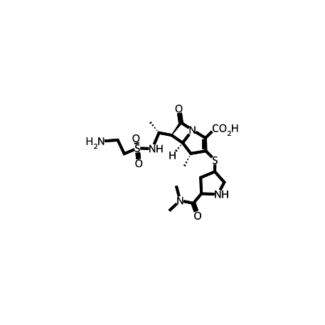 C[C@@H](NS(=O)(=O)CCN)[C@H]1C(=O)N2C(C(=O)O)=C(SC3CNC(C(=O)N(C)C)C3)[C@H](C)[C@@H]12